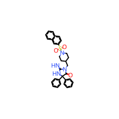 N=C1NC(c2ccccc2)(c2ccccc2)C(=O)N1CC1CCN(S(=O)(=O)c2ccc3ccccc3c2)CC1